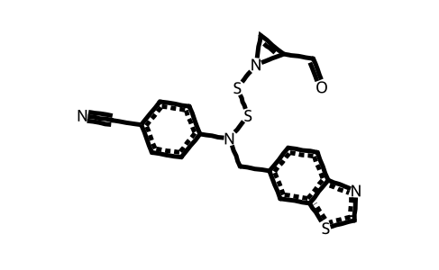 N#Cc1ccc(N(Cc2ccc3ncsc3c2)SSN2C=C2C=O)cc1